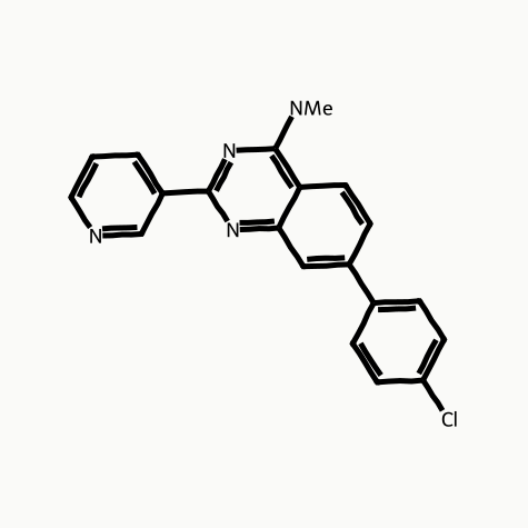 CNc1nc(-c2cccnc2)nc2cc(-c3ccc(Cl)cc3)ccc12